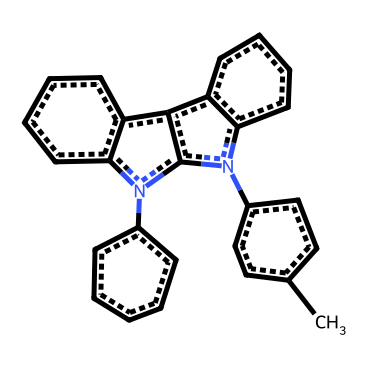 Cc1ccc(-n2c3ccccc3c3c4ccccc4n(-c4ccccc4)c32)cc1